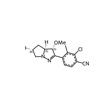 CO[C@@H]1C(c2ccc(C#N)c(Cl)c2C)=NN2C[C@H](I)C[C@@H]12